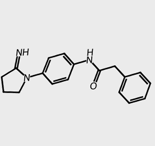 N=C1CCCN1c1ccc(NC(=O)Cc2ccccc2)cc1